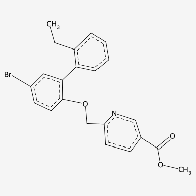 CCc1ccccc1-c1cc(Br)ccc1OCc1ccc(C(=O)OC)cn1